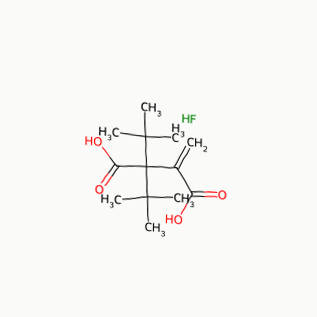 C=C(C(=O)O)C(C(=O)O)(C(C)(C)C)C(C)(C)C.F